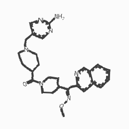 CON=C(c1cc2ccccc2cn1)C1CCN(C(=O)C2CCN(Cc3cnc(N)nc3)CC2)CC1